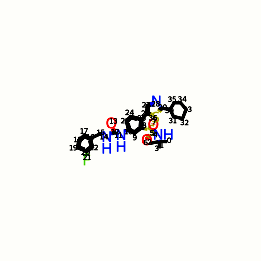 CC(C)(C)NS(=O)(=O)c1cc(NC(=O)NCc2cccc(F)c2)ccc1-c1cnc(C2CCCCC2)s1